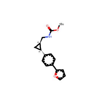 CC(C)(C)OC(=O)NC[C@@H]1C[C@H]1c1ccc(-c2ccco2)cc1